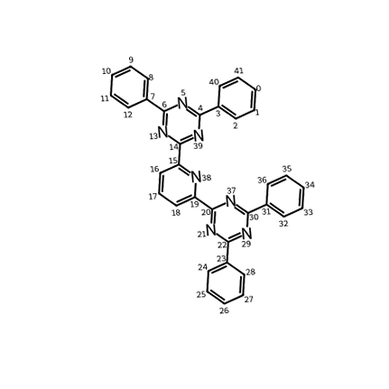 c1ccc(-c2nc(-c3ccccc3)nc(-c3cccc(-c4nc(-c5ccccc5)nc(-c5ccccc5)n4)n3)n2)cc1